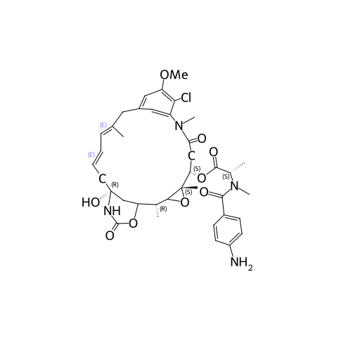 COc1cc2cc(c1Cl)N(C)C(=O)C[C@H](OC(=O)[C@H](C)N(C)C(=O)c1ccc(N)cc1)[C@]1(C)OC1[C@H](C)C1C[C@](O)(C/C=C/C=C(\C)C2)NC(=O)O1